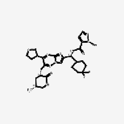 CC(C)n1nccc1C(=O)N[C@H](c1cn2nc(C[C@H]3C[C@@H](C(F)(F)F)CNC3=O)c(C3CCOC3)nc2n1)C1CCC(F)(F)CC1